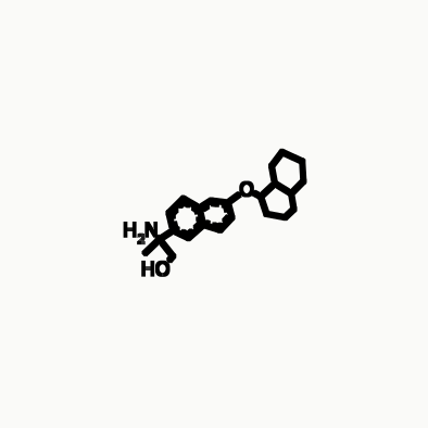 CC(N)(CO)c1ccc2cc(OC3CCCC4CCCCC43)ccc2c1